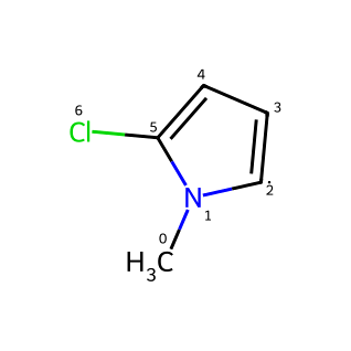 Cn1[c]ccc1Cl